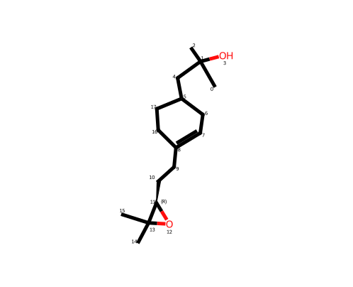 CC(C)(O)CC1CC=C(CC[C@H]2OC2(C)C)CC1